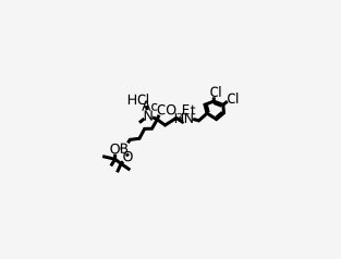 CCOC(=O)C(CCCCB1OC(C)(C)C(C)(C)O1)(CCCNCc1ccc(Cl)c(Cl)c1)N(C)C(C)=O.Cl